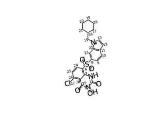 O=c1[nH]c2c(S(=O)(=O)c3ccc4ccn(CC5CCCCC5)c4c3)ccc(Cl)c2c(=O)n1O